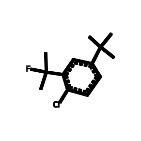 CC(C)(C)c1ccc(Cl)c(C(C)(C)F)c1